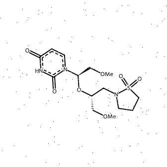 COC[C@@H](CN1CCCS1(=O)=O)O[C@H](COC)n1ccc(=O)[nH]c1=O